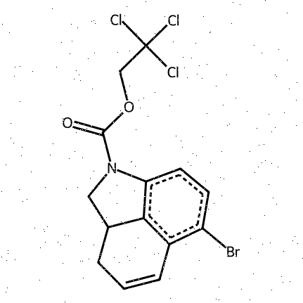 O=C(OCC(Cl)(Cl)Cl)N1CC2CC=Cc3c(Br)ccc1c32